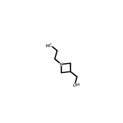 N#CCCN1CC(CO)C1